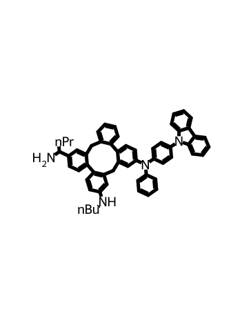 CCCCNc1ccc2c(c1)Cc1cc(N(c3ccccc3)c3ccc(-n4c5ccccc5c5ccccc54)cc3)ccc1-c1ccccc1Cc1cc(C(N)CCC)ccc1-2